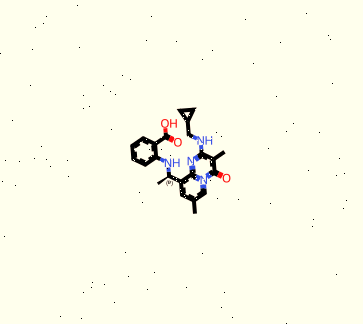 Cc1cc([C@@H](C)Nc2ccccc2C(=O)O)c2nc(NCC3CC3)c(C)c(=O)n2c1